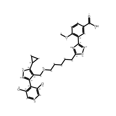 COc1ccc(C(=O)O)cc1-c1noc(CCCCCOCc2c(-c3c(Cl)cncc3Cl)noc2C2CC2)n1